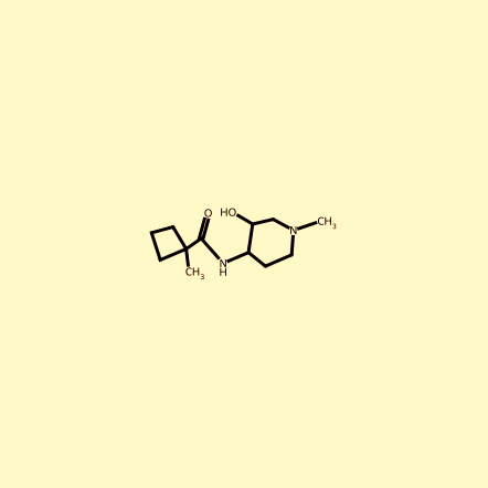 CN1CCC(NC(=O)C2(C)CCC2)C(O)C1